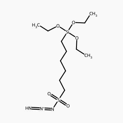 CCO[Si](CCCCCCS(=O)(=O)N=[N+]=N)(OCC)OCC